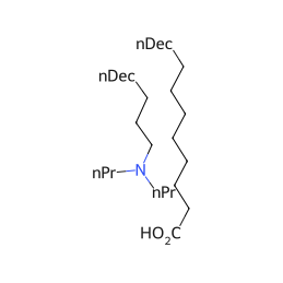 CCCCCCCCCCCCCCCCCC(=O)O.CCCCCCCCCCCCCN(CCC)CCC